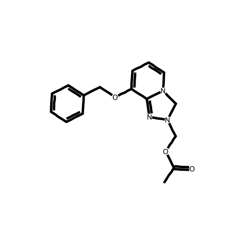 CC(=O)OCN1CN2C=CC=C(OCc3ccccc3)C2=N1